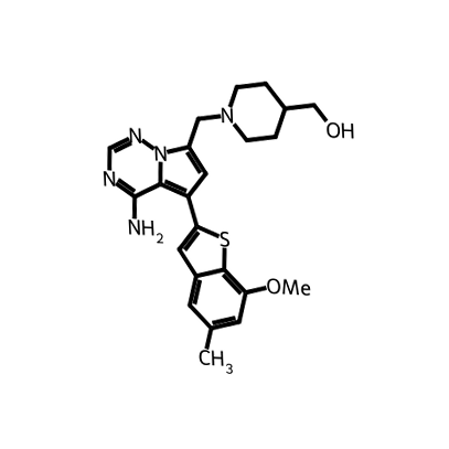 COc1cc(C)cc2cc(-c3cc(CN4CCC(CO)CC4)n4ncnc(N)c34)sc12